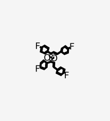 O=S(=O)(C(C=Cc1ccc(F)cc1)c1ccc(F)cc1)C(C=Cc1ccc(F)cc1)c1ccc(F)cc1